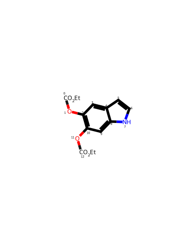 CCOC(=O)Oc1cc2cc[nH]c2cc1OC(=O)OCC